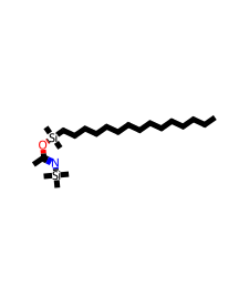 CCCCCCCCCCCCCCC[Si](C)(C)OC(C)=N[Si](C)(C)C